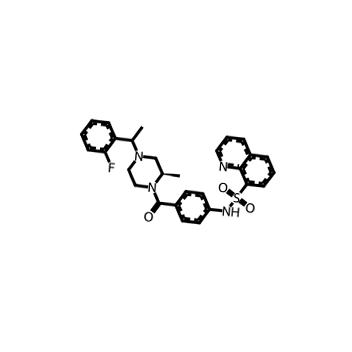 CC(c1ccccc1F)N1CCN(C(=O)c2ccc(NS(=O)(=O)c3cccc4cccnc34)cc2)[C@H](C)C1